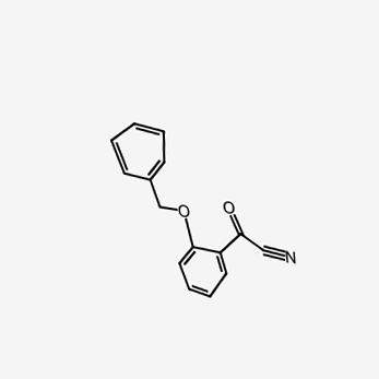 N#CC(=O)c1ccccc1OCc1ccccc1